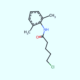 Cc1cccc(C)c1NC(=O)CCCCCl